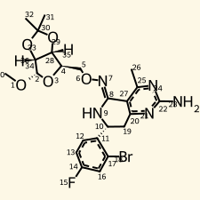 CO[C@H]1O[C@H](CO/N=C2\N[C@@H](c3ccc(F)cc3Br)Cc3nc(N)nc(C)c32)[C@H]2OC(C)(C)O[C@@H]12